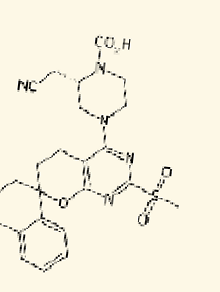 CS(=O)(=O)c1nc2c(c(N3CCN(C(=O)O)[C@@H](CC#N)C3)n1)CCC1(CCCc3ccccc31)O2